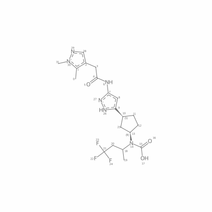 Cc1c(CC(=O)Nc2cc([C@H]3CC[C@@H](N(C(=O)O)C(C)CC(F)(F)F)C3)[nH]n2)cnn1C